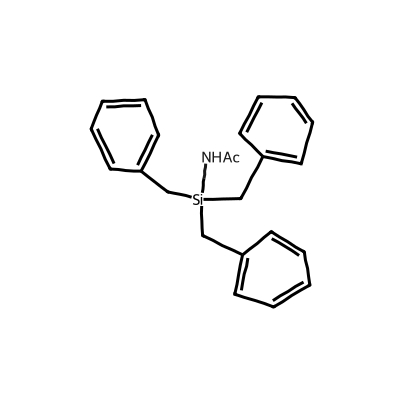 CC(=O)N[Si](Cc1ccccc1)(Cc1ccccc1)Cc1ccccc1